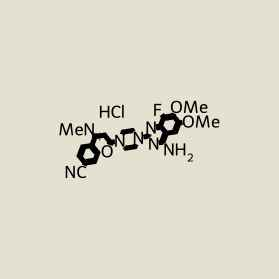 CN[C@H](CC(=O)N1CCN(c2nc(N)c3cc(OC)c(OC)c(F)c3n2)CC1)c1ccc(C#N)cc1.Cl